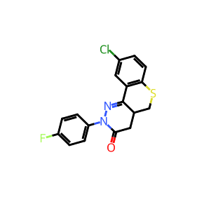 O=C1CC2CSc3ccc(Cl)cc3C2=NN1c1ccc(F)cc1